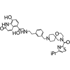 CC(C)c1csc(C(=O)N2CCOC3(CCN(Cc4cccc(CCNC[C@H](O)c5ccc(O)c6[nH]c(=O)ccc56)c4)CC3)C2)n1